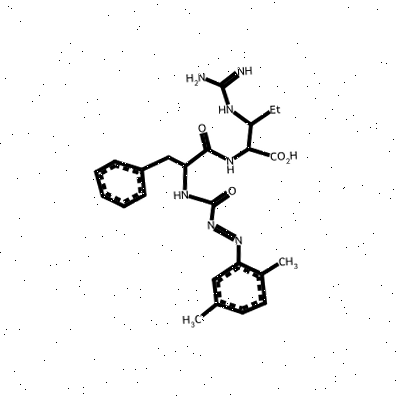 CCC(NC(=N)N)C(NC(=O)C(Cc1ccccc1)NC(=O)/N=N/c1cc(C)ccc1C)C(=O)O